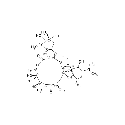 CC[C@H]1OC(=O)[C@H](C)[C@@H](OC2C[C@@](C)(O)C(O)[C@@H](C)O2)[C@H](C)[C@@H](O[C@@H]2OC(C)CC(N(C)C)C2O)[C@](C)(O)C[C@@H](C)C(=O)[C@H](C)[C@@H](O)[C@]1(C)O